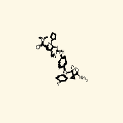 CN(C)C(=O)c1cc2cnc(Nc3ccc(N(C(=O)C4(C(N)=O)CC4)c4ccc(F)cc4)cc3)nc2n1C1CCCC1